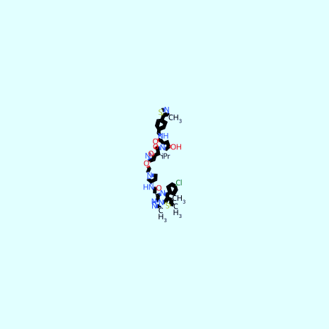 Cc1ncsc1-c1ccc(CNC(=O)C2CC(O)CN2C(=O)[C@@H](c2cc(OCCN3CC[C@@H](NC(=O)C[C@@H]4N=C(c5ccc(Cl)cc5)c5c(sc(C)c5C)-n5c(C)nnc54)C3)no2)C(C)C)cc1